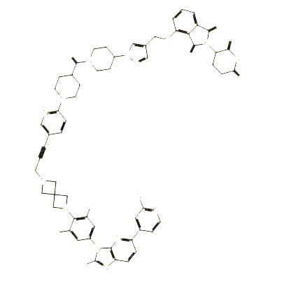 Cc1nc2ccc(-c3ccnc(N)c3)nc2n1-c1cc(F)c(N2CC3(CN(CC#Cc4ccc(N5CCC(C(=O)N6CCC(n7cc(CNc8cccc9c8C(=O)N(C8CCC(=O)NC8=O)C9=O)cn7)CC6)CC5)nc4)C3)C2)c(F)c1